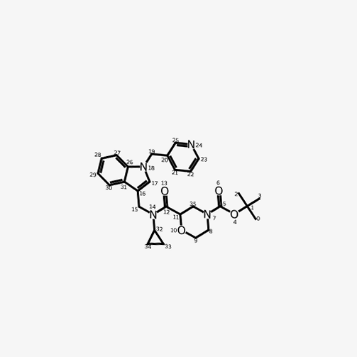 CC(C)(C)OC(=O)N1CCOC(C(=O)N(Cc2cn(Cc3cccnc3)c3ccccc23)C2CC2)C1